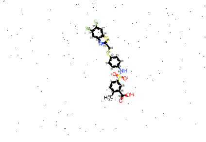 Cc1ccc(S(=O)(=O)Nc2ccc(SCc3nc4cc(F)c(F)cc4s3)cc2)cc1C(=O)O